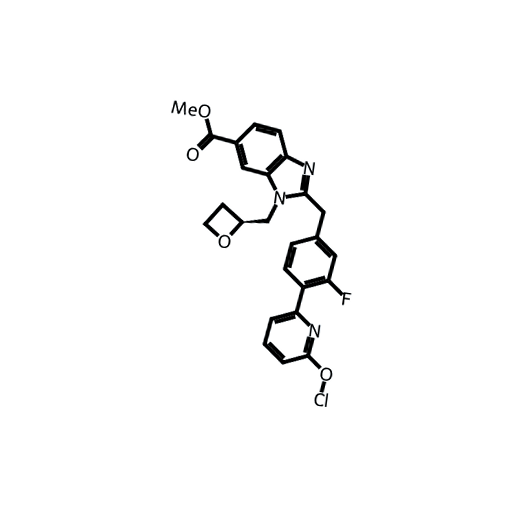 COC(=O)c1ccc2nc(Cc3ccc(-c4cccc(OCl)n4)c(F)c3)n(C[C@@H]3CCO3)c2c1